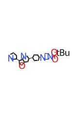 CC(C)(C)OC(=O)N1CCN(c2ccc(-c3cnc4c(-c5cccnc5)coc4c3)cc2)CC1